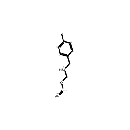 Cc1ccc(C[AsH]CON=N)cc1